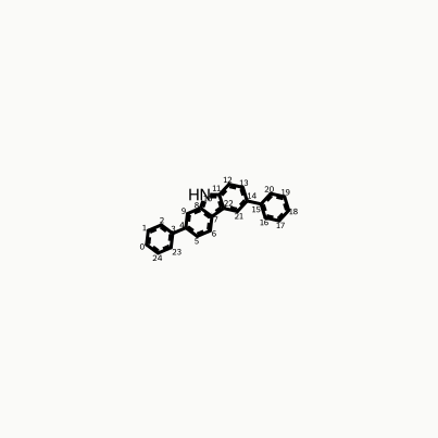 c1ccc(-c2ccc3c(c2)[nH]c2ccc(-c4ccccc4)cc23)cc1